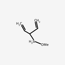 C=CC(C=C)[SiH2]OC